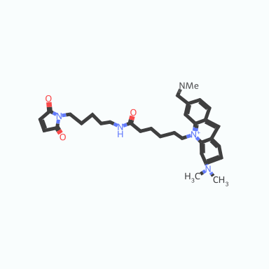 CNCc1ccc2cc3ccc(N(C)C)cc3[n+](CCCCCC(=O)NCCCCCN3C(=O)C=CC3=O)c2c1